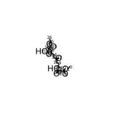 CCOC(=O)C(C)(CCCCC(=O)CCCCC(C)(C(=O)O)C(=O)OCC)C(=O)O